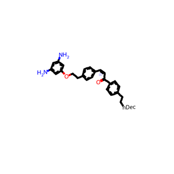 CCCCCCCCCCCCc1ccc(C(=O)/C=C\c2ccc(CCOc3cc(N)cc(N)c3)cc2)cc1